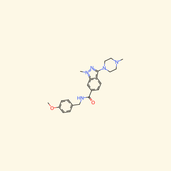 COc1ccc(CNC(=O)c2ccc3c(N4CCN(C)CC4)nn(C)c3c2)cc1